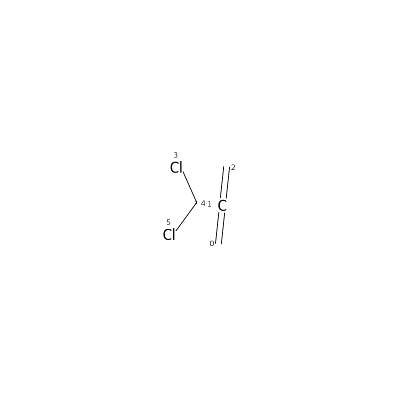 C=C=C.ClCCl